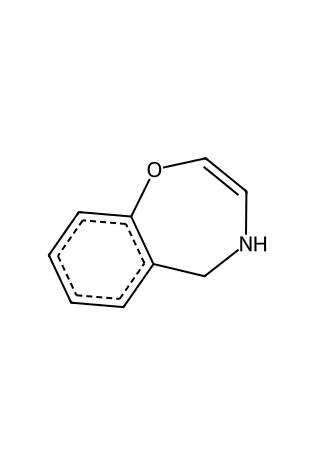 C1=COc2ccccc2CN1